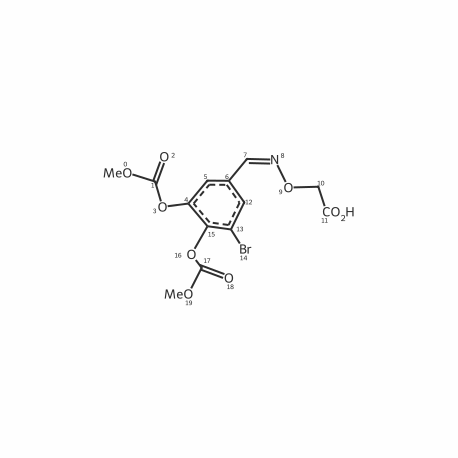 COC(=O)Oc1cc(/C=N\OCC(=O)O)cc(Br)c1OC(=O)OC